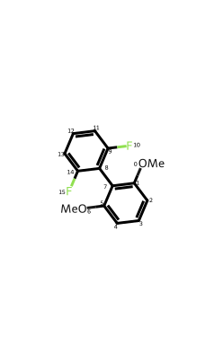 COc1cccc(OC)c1-c1c(F)cccc1F